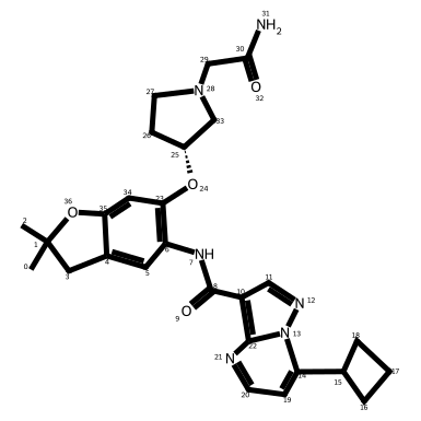 CC1(C)Cc2cc(NC(=O)c3cnn4c(C5CCC5)ccnc34)c(O[C@@H]3CCN(CC(N)=O)C3)cc2O1